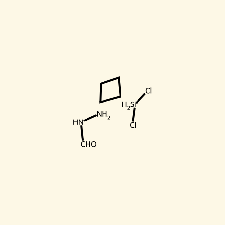 C1CCC1.Cl[SiH2]Cl.NNC=O